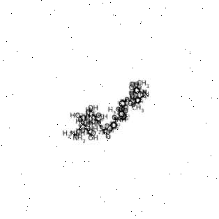 COc1ccc(-c2cnnn2-c2cc(OC)c(OC)c(OC)c2)cc1NC(=O)OC1CCCC2(C1)OOC1(O2)C(C)CC2(NC(=O)C3CCC(CN4C(=O)CC(SCN[C@@H](CS)C(=O)C(=O)[C@H](CC(=O)O)NN[C@@H](CC(=O)O)C(=O)N[C@@H](CCCNC(N)N)C(=O)C(=O)[C@@H](N)CC(=O)O)C4=O)CC3)CCCC1C2